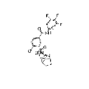 O=C(Nc1cc(F)c(F)c(F)c1)c1ccc(Cl)c(S(=O)(=O)[C@H]2CC3CCC(C2)[C@@]3(O)CO)c1